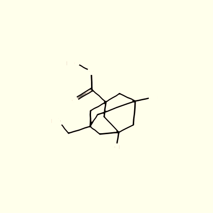 COC(=O)C12CC3(C)CC(C)(CC(CO)(C3)C1)C2